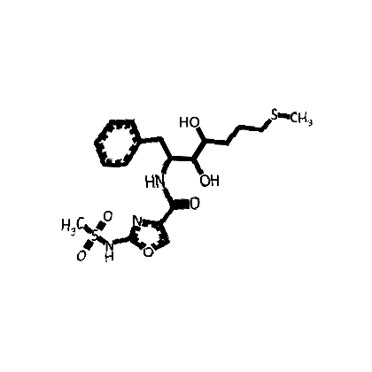 CSCCCC(O)C(O)C(Cc1ccccc1)NC(=O)c1coc(NS(C)(=O)=O)n1